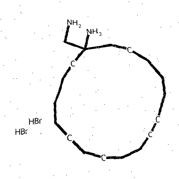 Br.Br.NCC1(N)CCCCCCCCCCCCCCCC1